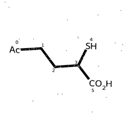 CC(=O)CCC(S)C(=O)O